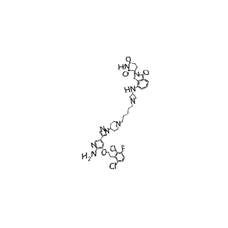 Nc1ncc(-c2cnn(C3CCN(CCCCCN4CC(Nc5cccc6c5CN([C@@H]5CCC(=O)NC5=O)C6=O)C4)CC3)c2)cc1OCCc1c(Cl)ccc(F)c1Cl